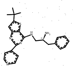 CC(C)(C)c1cc2nc(-c3ccncc3)nc(NC[C@@H](N)Cc3ccccc3)c2s1